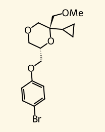 COC[C@]1(C2CC2)COC[C@@H](COc2ccc(Br)cc2)O1